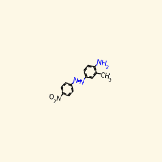 Cc1cc(N=Nc2ccc([N+](=O)[O-])cc2)ccc1N